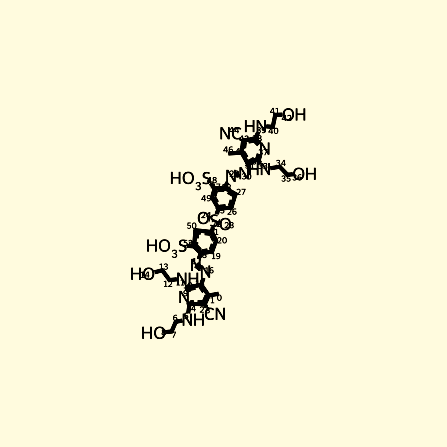 Cc1c(C#N)c(NCCO)nc(NCCO)c1/N=N/c1ccc(S(=O)(=O)c2ccc(/N=N/c3c(NCCO)nc(NCCO)c(C#N)c3C)c(S(=O)(=O)O)c2)cc1S(=O)(=O)O